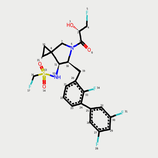 O=C([C@H](O)CF)N1CC2(CC2)[C@H](NS(=O)(=O)CF)[C@@H]1Cc1cccc(-c2cc(F)cc(F)c2)c1F